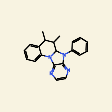 CC1c2ccccc2N2c3nccnc3N(c3ccccc3)C2C1C